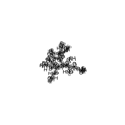 CNC(=O)CCC(CCC(=O)NC)(CCC(=O)NCCNC(=O)C(F)(F)F)NC(=O)CCC(N)(CCC(=O)NC(CCC(=O)NCCNC(=O)C(F)(F)F)(CCC(=O)NCCNC(=O)C(F)(F)F)CCC(=O)NCCNC(=O)C(F)(F)F)CCC(=O)OC(CCC(=O)NCCNC(=O)C(F)(F)F)(CCC(=O)NCCNC(=O)C(F)(F)F)CCC(=O)NCCNC(=O)C(F)(F)F